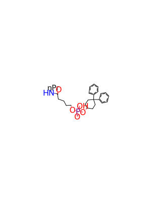 CCCNC(=O)CCCCOP(=O)(O)OC1CCC(c2ccccc2)(c2ccccc2)CC1